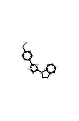 CCOc1ccc(-c2nc(C3CCc4ccccc43)cs2)cc1